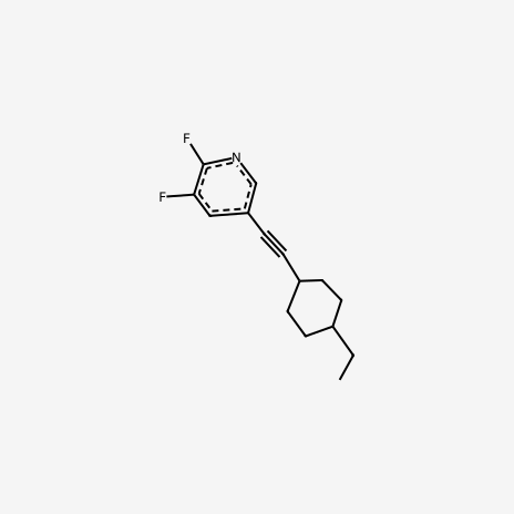 CCC1CCC(C#Cc2cnc(F)c(F)c2)CC1